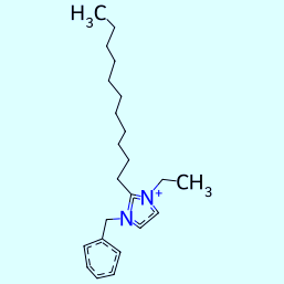 CCCCCCCCCCCc1n(Cc2ccccc2)cc[n+]1CC